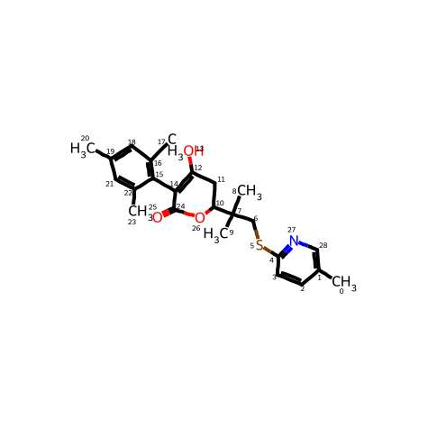 Cc1ccc(SCC(C)(C)C2CC(O)=C(c3c(C)cc(C)cc3C)C(=O)O2)nc1